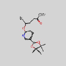 CCC(CCC(=O)OC)Oc1ccc(B2OC(C)(C)C(C)(C)O2)cn1